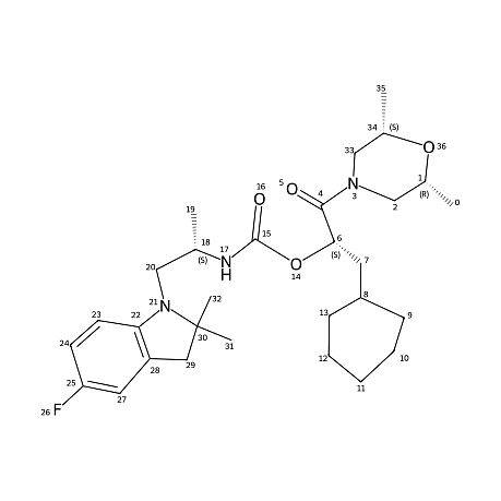 C[C@@H]1CN(C(=O)[C@H](CC2CCCCC2)OC(=O)N[C@@H](C)CN2c3ccc(F)cc3CC2(C)C)C[C@H](C)O1